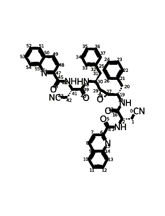 N#CC[C@H](NC(=O)c1ccc2ccccc2n1)C(=O)N[C@@H](Cc1ccccc1)[C@@H]1O[C@@H]1[C@H](Cc1ccccc1)NC(=O)[C@H](CC#N)NC(=O)c1ccc2ccccc2n1